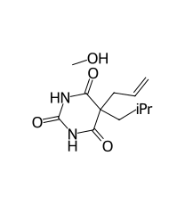 C=CCC1(CC(C)C)C(=O)NC(=O)NC1=O.CO